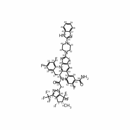 C[C@@H]1[C@H](I)c2c(C(F)(F)F)nn(CC(=O)N[C@@H](Cc3cc(F)cc(F)c3)c3nc4nc(N5CCN(c6nc7ccccc7[nH]6)CC5)sc4cc3-c3ccc(F)c(C(N)=O)c3)c2C1(F)F